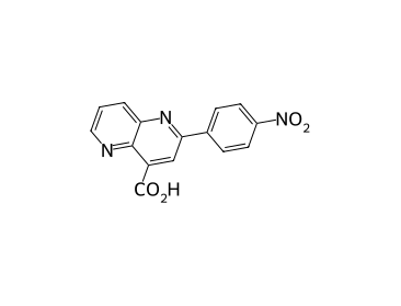 O=C(O)c1cc(-c2ccc([N+](=O)[O-])cc2)nc2cccnc12